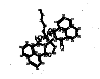 CCCCCC(N)(N)C(CC)(N1C(=O)c2cccc3cccc(c23)C1=O)N1C(=O)c2cccc3cccc(c23)C1=O